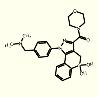 CN(C)Cc1ccc(-n2nc(C(=O)N3CCOCC3)c3c2-c2ccccc2S(O)(O)C3)cc1